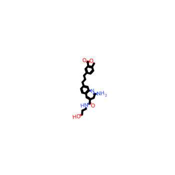 NC1=Nc2cc(CCCc3ccc4c(c3)C(=O)OC4)ccc2C=C(C(=O)NCCCO)C1